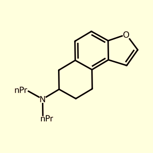 CCCN(CCC)C1CCc2c(ccc3occc23)C1